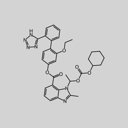 CCOc1cc(OC(=O)c2cccc3nc(C)n(C(C)OC(=O)OC4CCCCC4)c23)ccc1-c1ccccc1-c1nnn[nH]1